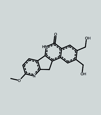 COc1ccc2c(n1)Cc1c-2[nH]c(=O)c2cc(CO)c(CO)cc12